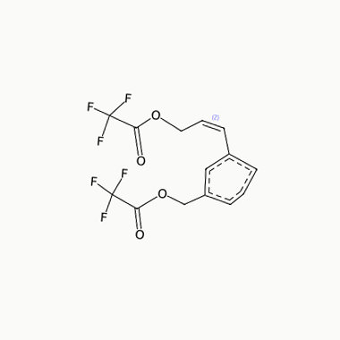 O=C(OC/C=C\c1cccc(COC(=O)C(F)(F)F)c1)C(F)(F)F